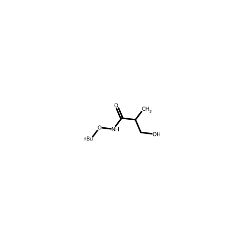 CCCCONC(=O)C(C)CO